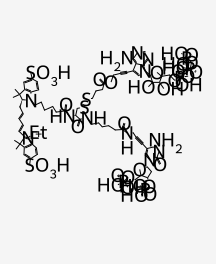 CC[N+]1=C(/C=C/C=C/C[C@@H]2N(CCCCCC(=O)NC(CSSCCCC(=O)OCC#Cc3cn(C4OC(COP(=O)(O)OP(=O)(O)OP(=O)(O)O)C(O)C4O)c4ncnc(N)c34)C(=O)NCCCCCC(=O)NCC#Cc3cn(C4CC(OP(=O)(O)O)C(COP(=O)(O)O)O4)c(=O)nc3N)c3ccc(S(=O)(=O)O)cc3C2(C)C)C(C)(C)c2cc(S(=O)(=O)O)ccc21